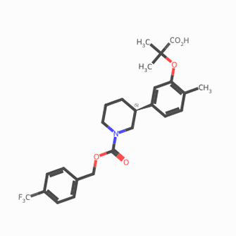 Cc1ccc([C@@H]2CCCN(C(=O)OCc3ccc(C(F)(F)F)cc3)C2)cc1OC(C)(C)C(=O)O